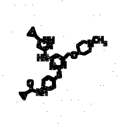 CN1CCC(OCc2cc(Nc3cc(C4CC4)[nH]n3)nc(Sc3ccc(NC(=O)C4CC4)cc3)n2)CC1